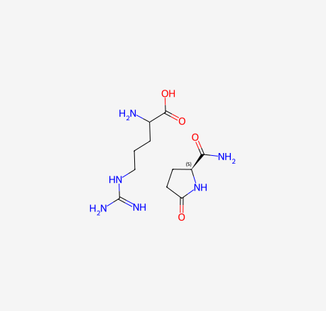 N=C(N)NCCCC(N)C(=O)O.NC(=O)[C@@H]1CCC(=O)N1